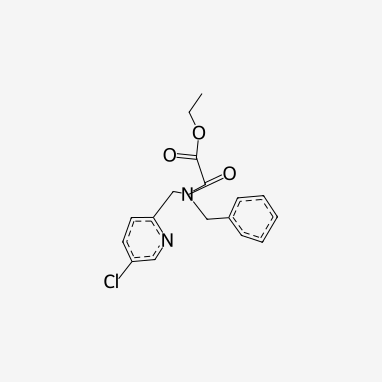 CCOC(=O)C(=O)N(Cc1ccccc1)Cc1ccc(Cl)cn1